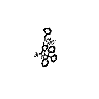 O=[N+]([O-])c1cc2c(cc1CNCc1ccccc1)c(Br)nn2C(c1ccccc1)(c1ccccc1)c1ccccc1